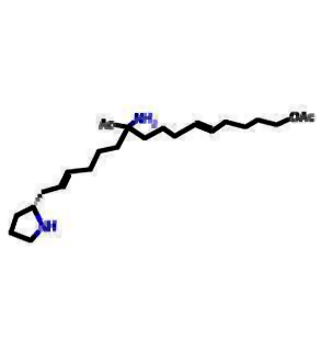 CC(=O)OCCCC/C=C/CCCC(N)(CCC/C=C/C[C@H]1CCCN1)C(C)=O